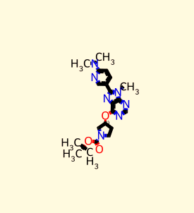 CN(C)c1ccc(-c2nc3c(O[C@H]4CCN(C(=O)OC(C)(C)C)C4)ncnc3n2C)cn1